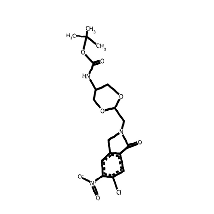 CC(C)(C)OC(=O)NC1COC(CN2Cc3cc([N+](=O)[O-])c(Cl)cc3C2=O)OC1